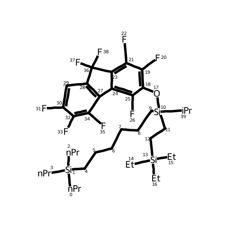 CCC[Si](CCC)(CCC)CCCCCC[Si](CC[Si](CC)(CC)CC)(Oc1c(F)c(F)c2c(c1F)-c1c([c]c(F)c(F)c1F)C2(F)F)C(C)C